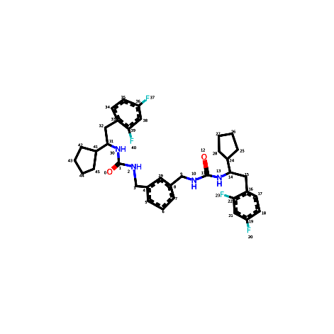 O=C(NCc1cccc(CNC(=O)NC(Cc2ccc(F)cc2F)C2CCCC2)c1)NC(Cc1ccc(F)cc1F)C1CCCC1